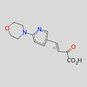 O=C(O)C(=O)/C=C/c1ccc(N2CCOCC2)nc1